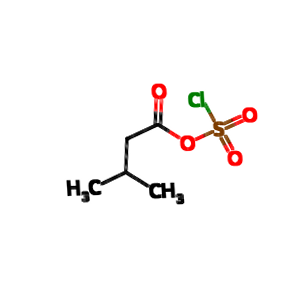 CC(C)CC(=O)OS(=O)(=O)Cl